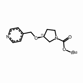 CC(C)(C)OC(=O)N1CC[C@H](OCc2ccncc2)C1